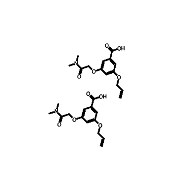 C=CCOc1cc(OCC(=O)N(C)C)cc(C(=O)O)c1.C=CCOc1cc(OCC(=O)N(C)C)cc(C(=O)O)c1